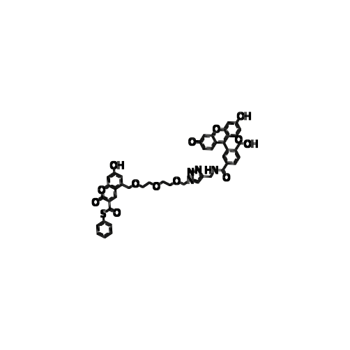 O=C(NCc1cn(COCCOCCOCc2cc(O)cc3oc(=O)c(C(=O)Sc4ccccc4)cc23)nn1)c1ccc(C(=O)O)c(-c2c3ccc(=O)cc-3oc3cc(O)ccc23)c1